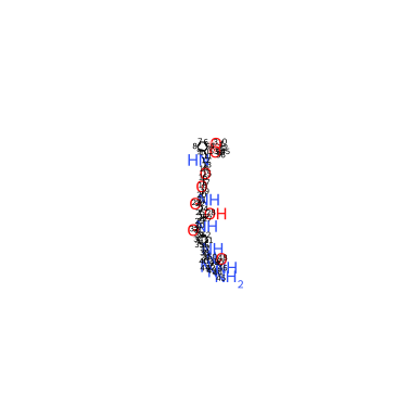 CC1(C)OB(c2ccccc2CNCCOCCOCCNC(=O)CCC(CO)CNC(=O)c2ccc(NCc3cnc4nc(N)[nH]c(=O)c4n3)cc2)OC1(C)C